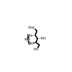 O=CC[C@@H](O)[C@H](O)[C@H](O)CO.[N-]=[N+]=[N-].[Na+]